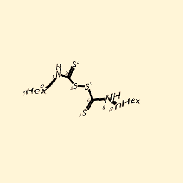 CCCCCCNC(=S)SSC(=S)NCCCCCC